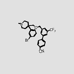 CN1CCC(COCc2cc(-c3ccc(C#N)cc3)cc(C(F)(F)F)c2)(c2cccc(Br)c2)CC1